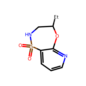 CCC1CNS(=O)(=O)c2cccnc2O1